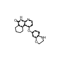 O=c1[nH]c2nccc(Oc3ccc4c(c3)OCCN4)c2c2c1CCCC2